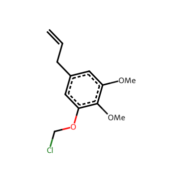 C=CCc1cc(OC)c(OC)c(OCCl)c1